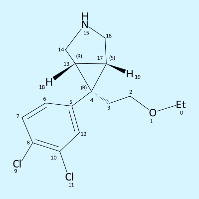 CCOCC[C@]1(c2ccc(Cl)c(Cl)c2)[C@@H]2CNC[C@@H]21